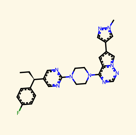 CC[C@H](c1ccc(F)cc1)c1cnc(N2CCN(c3ncnn4cc(-c5cnn(C)c5)cc34)CC2)nc1